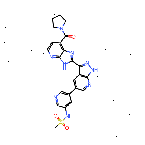 CS(=O)(=O)Nc1cncc(-c2cnc3[nH]nc(-c4nc5c(C(=O)N6CCCC6)ccnc5[nH]4)c3c2)c1